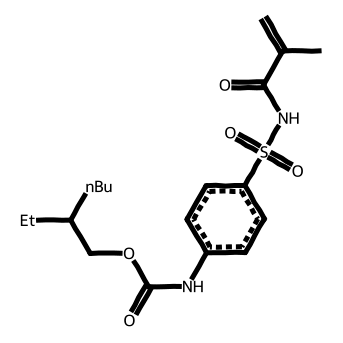 C=C(C)C(=O)NS(=O)(=O)c1ccc(NC(=O)OCC(CC)CCCC)cc1